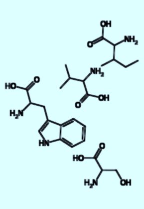 CC(C)C(N)C(=O)O.CCC(C)C(N)C(=O)O.NC(CO)C(=O)O.NC(Cc1c[nH]c2ccccc12)C(=O)O